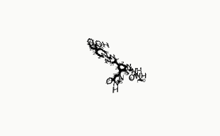 CCNC(=O)Nc1nc2cc(-c3cnc(N4CCC(CC)(C(=O)O)CC4)nc3)cc(-c3cc(=O)[nH]cn3)c2s1